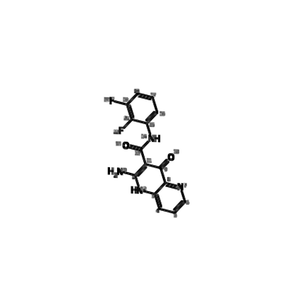 Nc1[nH]c2cccnc2c(=O)c1C(=O)Nc1cccc(F)c1F